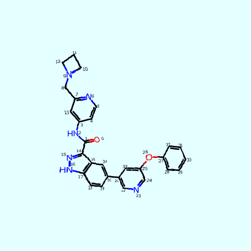 O=C(Nc1ccnc(CN2CCC2)c1)c1n[nH]c2ccc(-c3cncc(Oc4ccccc4)c3)cc12